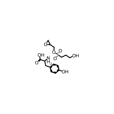 NC(Cc1ccc(O)cc1)C(=O)O.O=S(=O)(CCCO)OCC1CO1